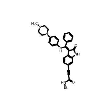 CCNC(=O)C#Cc1ccc2c(c1)NC(=O)C2=C(Nc1ccc(N2CCN(C)CC2)cc1)c1ccccc1